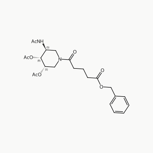 CC(=O)N[C@H]1CN(C(=O)CCCC(=O)OCc2ccccc2)C[C@H](OC(C)=O)[C@@H]1OC(C)=O